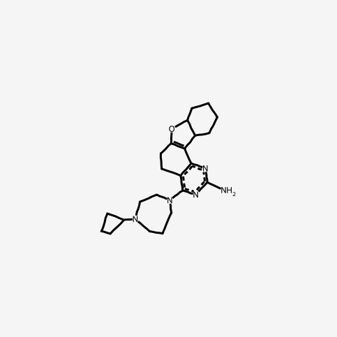 Nc1nc2c(c(N3CCCN(C4CCC4)CC3)n1)CCC1=C2C2CCCCC2O1